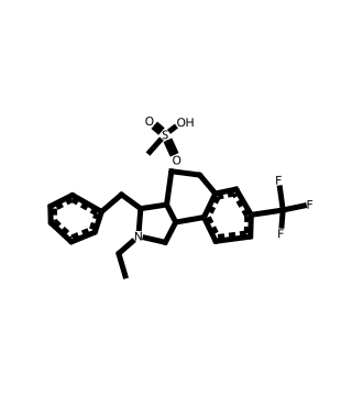 CCN1CC2c3ccc(C(F)(F)F)cc3CCC2C1Cc1ccccc1.CS(=O)(=O)O